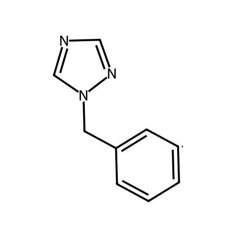 [c]1cccc(Cn2cncn2)c1